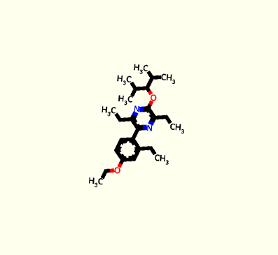 CCOc1ccc(-c2nc(CC)c(OC(C(C)C)C(C)C)nc2CC)c(CC)c1